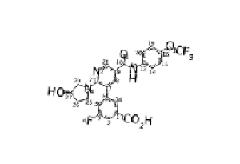 O=C(O)c1cc(F)cc(-c2cc(C(=O)Nc3ccc(OC(F)(F)F)cc3)cnc2N2CCC(O)C2)c1